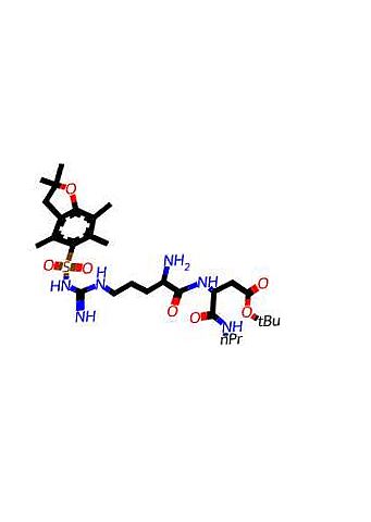 CCCNC(=O)C(CC(=O)OC(C)(C)C)NC(=O)C(N)CCCNC(=N)NS(=O)(=O)c1c(C)c(C)c2c(c1C)CC(C)(C)O2